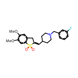 COc1cc2c(cc1OC)S(=O)(=O)/C(=C/C1CCN(Cc3cccc(F)c3)CC1)C2